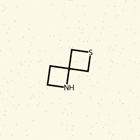 C1CC2(CSC2)N1